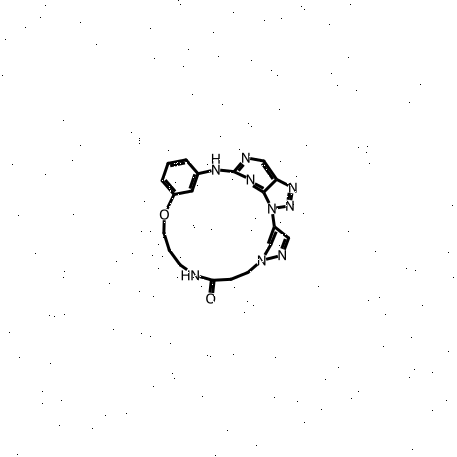 O=C1CCn2cc(cn2)-n2nnc3cnc(nc32)Nc2cccc(c2)OCCCN1